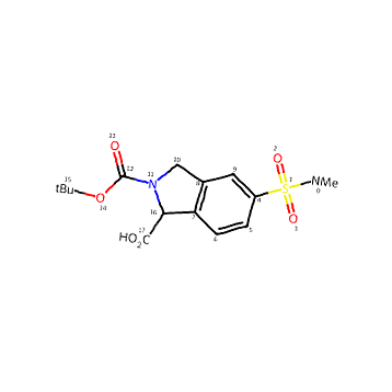 CNS(=O)(=O)c1ccc2c(c1)CN(C(=O)OC(C)(C)C)C2C(=O)O